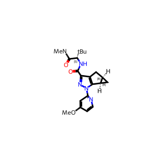 CNC(=O)[C@@H](NC(=O)c1nn(-c2cc(OC)ccn2)c2c1C[C@H]1C[C@@H]21)C(C)(C)C